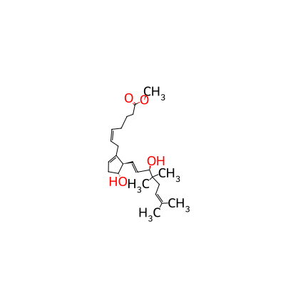 COC(=O)CCC/C=C\CC1=CC[C@@H](O)[C@@H]1/C=C/[C@@H](O)C(C)(C)CC=C(C)C